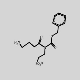 NCCCC(=O)N(CCS(=O)(=O)O)C(=O)OCc1ccccc1